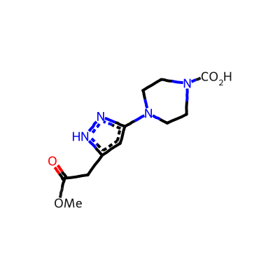 COC(=O)Cc1cc(N2CCN(C(=O)O)CC2)n[nH]1